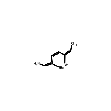 C\C=C(O)/C=C\C(=C/N)C(C)(C)C